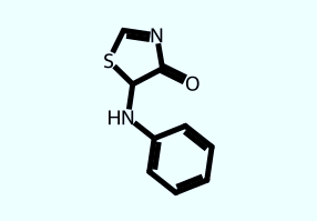 O=C1N=CSC1Nc1ccccc1